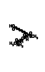 COC(=O)[C@H](CCCCCCCCCC(=O)O)NC(=O)COCCNC(=O)C(C)N